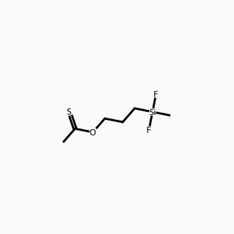 CC(=S)OCCC[Si](C)(F)F